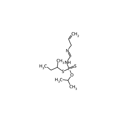 C=CCN=CNP(=S)(OC(C)C)SC(C)CC